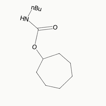 CCCCNC(=O)OC1CCCCCC1